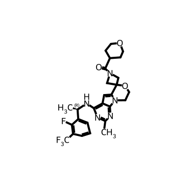 Cc1nc(N[C@H](C)c2cccc(C(F)(F)F)c2F)c2cc3n(c2n1)CCOC31CN(C(=O)C2CCOCC2)C1